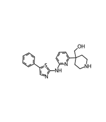 OCC1(c2cccc(Nc3ncc(-c4ccccc4)s3)n2)CCNCC1